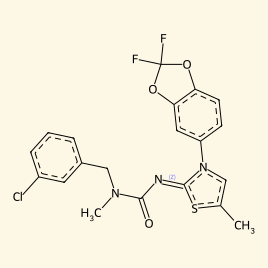 Cc1cn(-c2ccc3c(c2)OC(F)(F)O3)/c(=N/C(=O)N(C)Cc2cccc(Cl)c2)s1